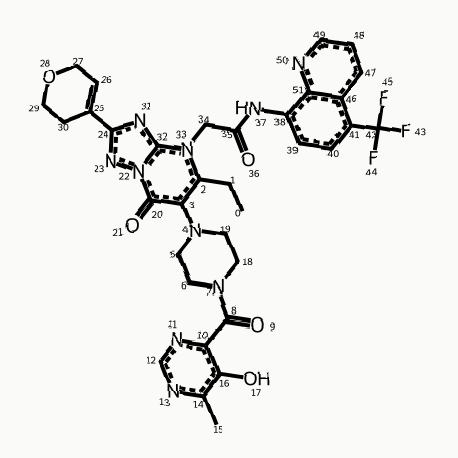 CCc1c(N2CCN(C(=O)c3ncnc(C)c3O)CC2)c(=O)n2nc(C3=CCOCC3)nc2n1CC(=O)Nc1ccc(C(F)(F)F)c2cccnc12